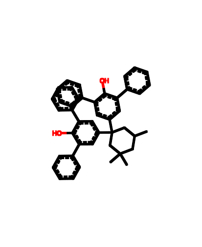 CC1CC(C)(C)CC(c2cc(-c3ccccc3)c(O)c(-c3ccccc3)c2)(c2cc(-c3ccccc3)c(O)c(-c3ccccc3)c2)C1